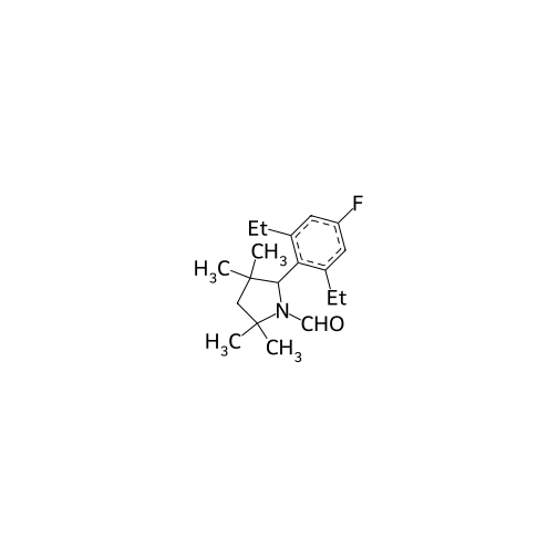 CCc1cc(F)cc(CC)c1C1N(C=O)C(C)(C)CC1(C)C